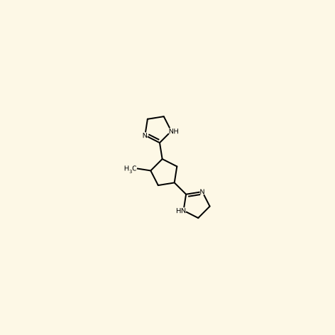 CC1CC(C2=NCCN2)CC1C1=NCCN1